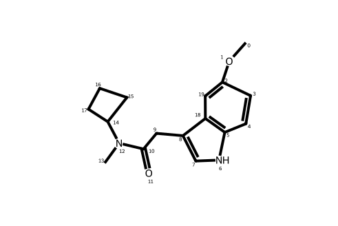 COc1ccc2[nH]cc(CC(=O)N(C)C3CCC3)c2c1